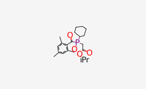 Cc1cc(C)c(C(=O)P(=O)(CC(=O)OC(C)C)C2CCCCC2)c(C)c1